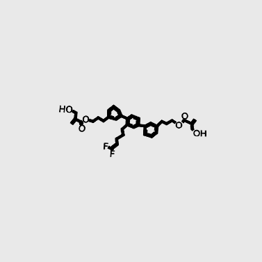 C=C(CO)C(=O)OCCCc1cccc(-c2ccc(-c3cccc(CCCOC(=O)C(=C)CO)c3)c(CCCC=C(F)F)c2)c1